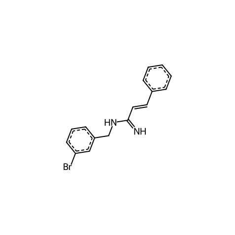 N=C(C=Cc1ccccc1)NCc1cccc(Br)c1